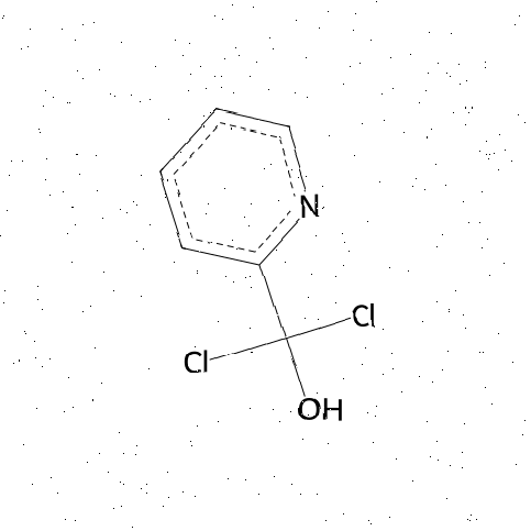 OC(Cl)(Cl)c1ccccn1